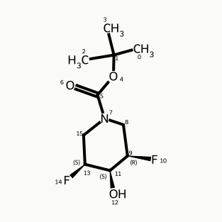 CC(C)(C)OC(=O)N1C[C@@H](F)[C@@H](O)[C@@H](F)C1